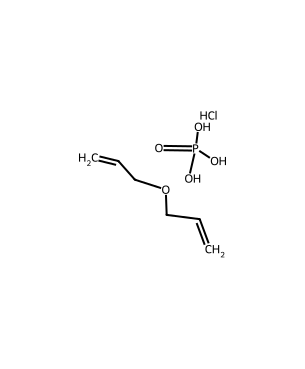 C=CCOCC=C.Cl.O=P(O)(O)O